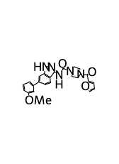 COc1cccc(-c2ccc3c(NC(=O)N4CCN(C(=O)c5ccco5)CC4)n[nH]c3c2)c1